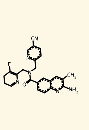 Cc1cc2cc(C(=O)N(CC3=C(F)CCC=N3)Cc3ccc(C#N)cn3)ccc2nc1N